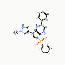 Cn1cc(-c2cn(S(=O)(=O)c3ccccc3)c3ncc(-c4ccccc4)nc23)cn1